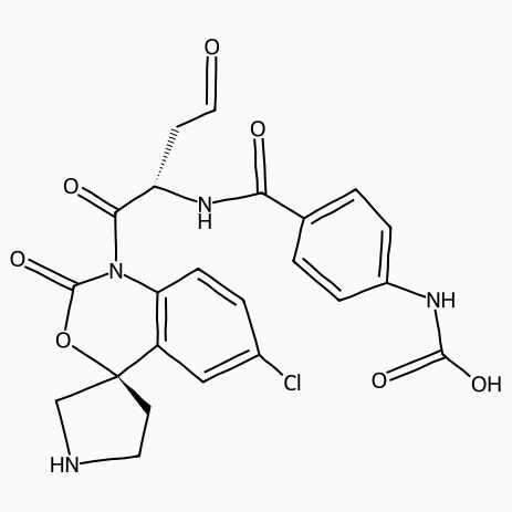 O=CC[C@H](NC(=O)c1ccc(NC(=O)O)cc1)C(=O)N1C(=O)O[C@]2(CCNC2)c2cc(Cl)ccc21